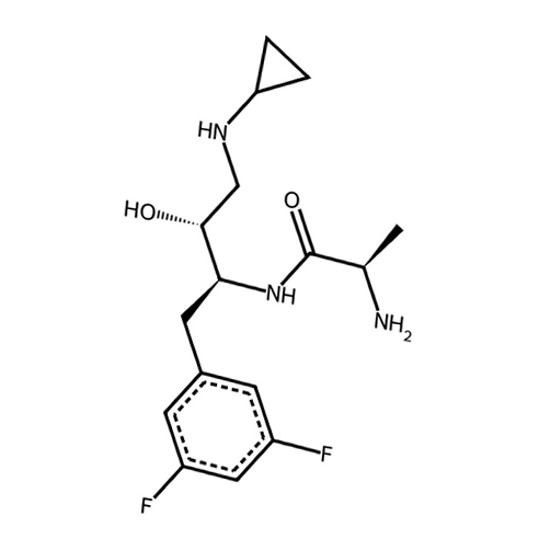 C[C@@H](N)C(=O)N[C@@H](Cc1cc(F)cc(F)c1)[C@H](O)CNC1CC1